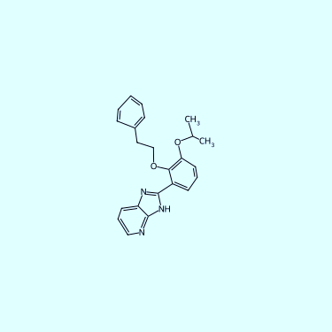 CC(C)Oc1cccc(-c2nc3cccnc3[nH]2)c1OCCc1ccccc1